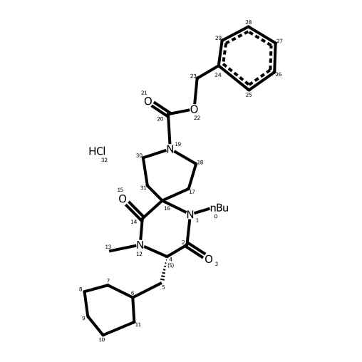 CCCCN1C(=O)[C@H](CC2CCCCC2)N(C)C(=O)C12CCN(C(=O)OCc1ccccc1)CC2.Cl